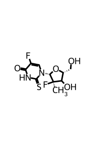 C[C@@]1(F)C(O)[C@@H](CO)O[C@H]1n1cc(F)c(=O)[nH]c1=S